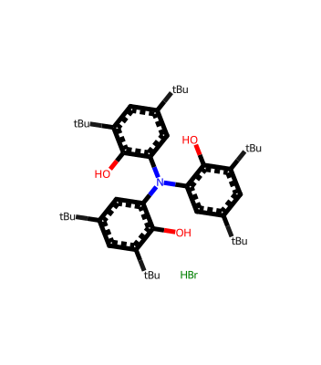 Br.CC(C)(C)c1cc(N(c2cc(C(C)(C)C)cc(C(C)(C)C)c2O)c2cc(C(C)(C)C)cc(C(C)(C)C)c2O)c(O)c(C(C)(C)C)c1